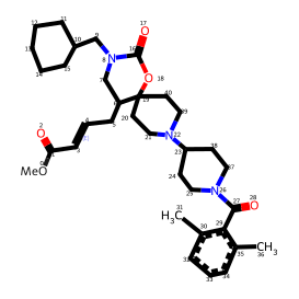 COC(=O)/C=C/CC1CN(CC2CCCCC2)C(=O)OC12CCN(C1CCN(C(=O)c3c(C)cccc3C)CC1)CC2